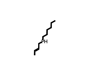 CC=CCPCCCCCC